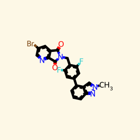 Cn1cc2c(-c3cc(F)c(CN4C(=O)c5cc(Br)cnc5C4=O)c(F)c3)cccc2n1